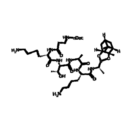 CCCCCCCCCCNCCC(=O)N[C@@H](CCCCN)C(=O)N[C@H](C(=O)N[C@@H](C)C(=O)N[C@@H](CCCCN)C(=O)N[C@@H](C)B1O[C@@H]2C[C@@H]3C[C@@H](C3(C)C)[C@]2(C)O1)[C@@H](C)O